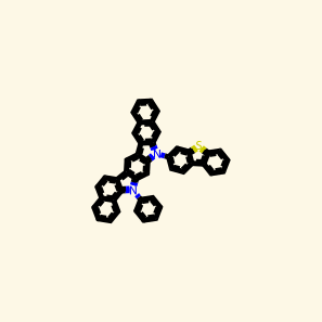 c1ccc(-n2c3cc4c(cc3c3ccc5ccccc5c32)c2cc3ccccc3cc2n4-c2ccc3c(c2)sc2ccccc23)cc1